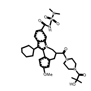 COc1ccc2c(c1)CC(C(=O)N1CCN(C(=O)C(C)(C)O)CC1)Cn1c-2c(C2CCCCC2)c2ccc(C(=O)NS(=O)(=O)N(C)C)cc21